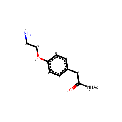 CC(=O)NC(=O)Cc1ccc(OCCN)cc1